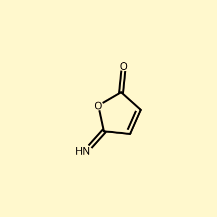 N=C1C=CC(=O)O1